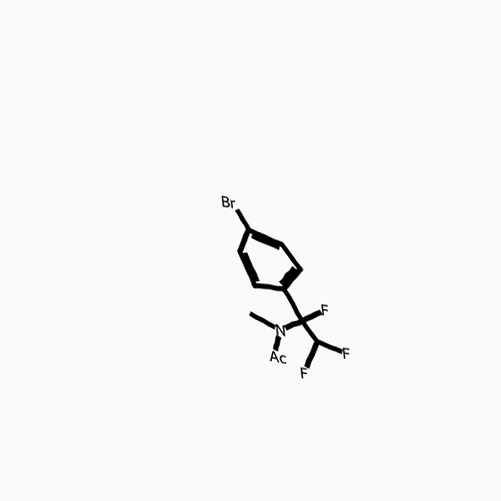 CC(=O)N(C)C(F)(c1ccc(Br)cc1)C(F)F